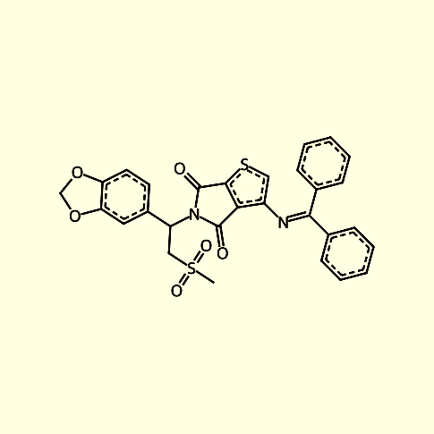 CS(=O)(=O)CC(c1ccc2c(c1)OCO2)N1C(=O)c2scc(N=C(c3ccccc3)c3ccccc3)c2C1=O